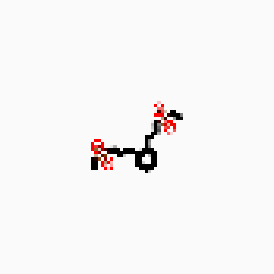 C=CS(=O)(=O)C=CCc1ccccc1CC=CS(=O)(=O)C=C